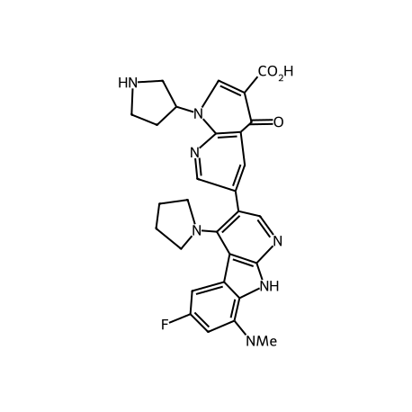 CNc1cc(F)cc2c1[nH]c1ncc(-c3cnc4c(c3)c(=O)c(C(=O)O)cn4C3CCNC3)c(N3CCCC3)c12